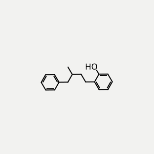 CC(CCc1ccccc1O)Cc1ccccc1